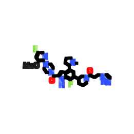 COc1cc(F)cnc1N1CCN(C(=O)c2cc3c(C4CCCN4C)cc(C4=CCCN(C(=O)CCn5ccnn5)C4)c(F)c3[nH]2)CC1